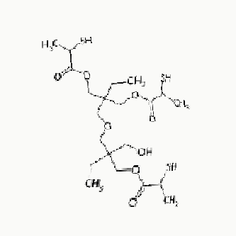 CCC(CO)(COCC(CC)(COC(=O)C(C)S)COC(=O)C(C)S)COC(=O)C(C)S